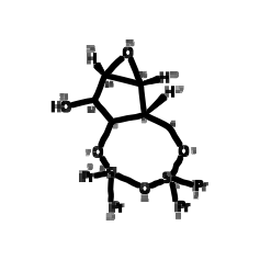 CC(C)[Si]1(C(C)C)OC[C@@H]2C(O[Si](C(C)C)(C(C)C)O1)C(O)[C@@H]1O[C@H]21